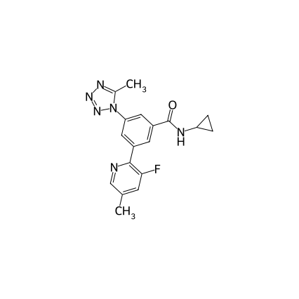 Cc1cnc(-c2cc(C(=O)NC3CC3)cc(-n3nnnc3C)c2)c(F)c1